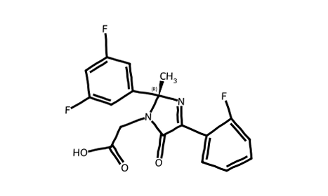 C[C@@]1(c2cc(F)cc(F)c2)N=C(c2ccccc2F)C(=O)N1CC(=O)O